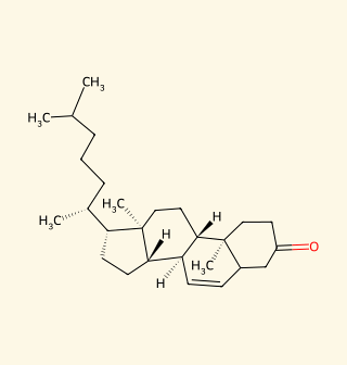 CC(C)CCC[C@@H](C)[C@H]1CC[C@H]2[C@@H]3C=CC4CC(=O)CC[C@]4(C)[C@H]3CC[C@]12C